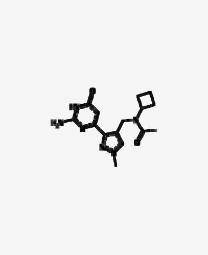 CC(=O)N(Cc1cn(C)nc1-c1cc(=O)[nH]c(N)n1)C1CCC1